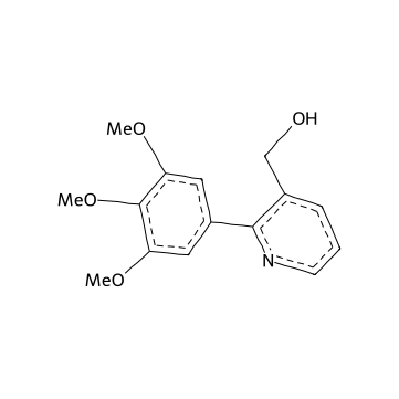 COc1cc(-c2ncccc2CO)cc(OC)c1OC